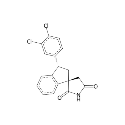 O=C1C[C@@]2(C[C@@H](c3ccc(Cl)c(Cl)c3)c3ccccc32)C(=O)N1